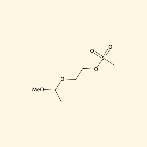 COC(C)OCCOS(C)(=O)=O